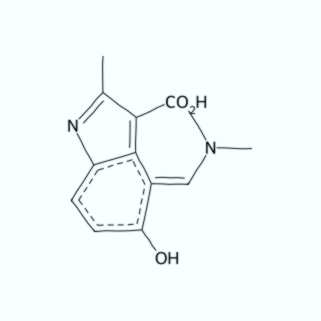 CC1=Nc2ccc(O)/c(=C/N(C)C)c2=C1C(=O)O